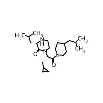 CC(C)CC1CCN(C(=O)[C@H](CC2CC2)N2CCN[C@@H](CC(C)C)C2=O)CC1